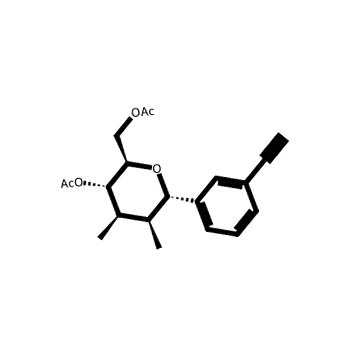 C#Cc1cccc([C@H]2O[C@H](COC(C)=O)[C@@H](OC(C)=O)[C@H](C)[C@@H]2C)c1